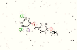 COc1ccc(COc2cc(Cl)cc(Cl)c2I)cc1